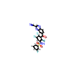 N#Cc1cnc2ccc(C(=O)c3c(F)c(F)cc(NS(=O)(=O)c4cccc(F)c4)c3F)cc2n1